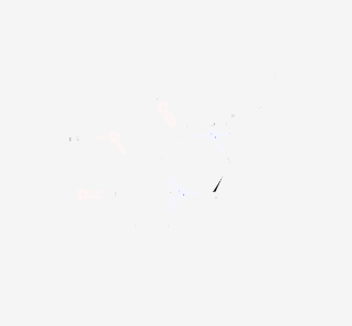 CCCCOc1c2n(cc(C(=O)OCC)c1=O)C[C@]13CC[C@H](CC1)CN3C2=O